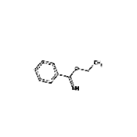 CCOC(=N)c1cc[c]cc1